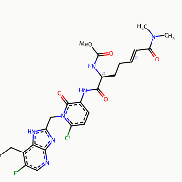 COC(=O)N[C@@H](CC/C=C/C(=O)N(C)C)C(=O)Nc1ccc(Cl)n(Cc2nc3ncc(F)c(CC(C)C)c3[nH]2)c1=O